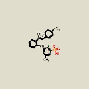 Cc1ccc(Cl)c(P(=O)(O)O)c1.Cc1ccccc1C(=Cc1ccc([N+](=O)[O-])cc1)C(=O)O